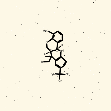 COc1cccc2c1OC[C@@H]1[C@H]2Nc2ccc(C(O)(C(F)(F)F)C(F)(F)F)cc2C1(C)CBr